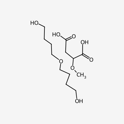 COC(CC(=O)O)C(=O)O.OCCCCOCCCCO